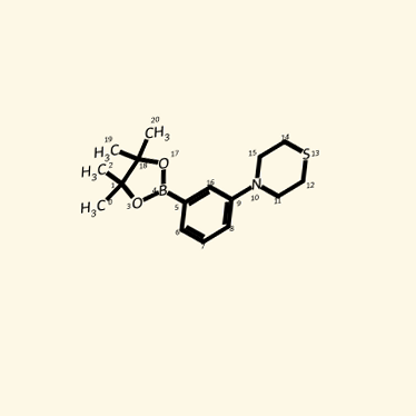 CC1(C)OB(c2cccc(N3CCSCC3)c2)OC1(C)C